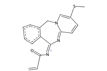 C=CC(=O)/N=C1/N=C2C=CC(SC)=CN2Cc2ccccc21